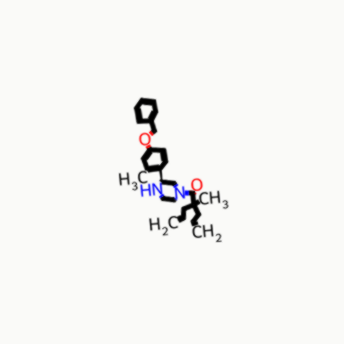 C=CCC(C)(CC=C)C(=O)N1CCN[C@@H](c2ccc(OCc3ccccc3)cc2C)C1